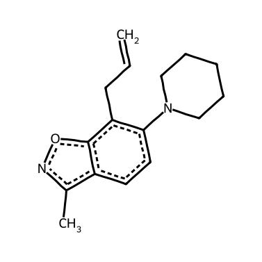 C=CCc1c(N2CCCCC2)ccc2c(C)noc12